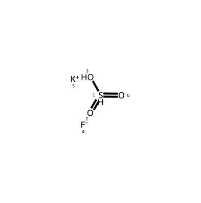 O=[SH](=O)O.[F-].[K+]